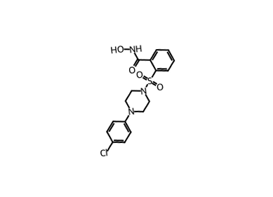 O=C(NO)c1ccccc1S(=O)(=O)N1CCN(c2ccc(Cl)cc2)CC1